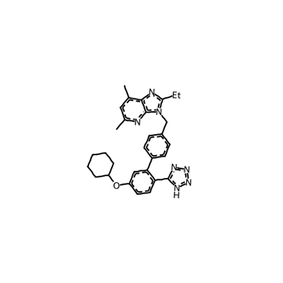 CCc1nc2c(C)cc(C)nc2n1Cc1ccc(-c2cc(OC3CCCCC3)ccc2-c2nnn[nH]2)cc1